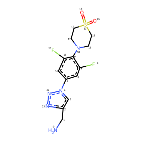 NCc1cn(-c2cc(F)c(N3CCS(=O)(=O)CC3)c(F)c2)nn1